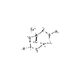 [Ca+2].[O-]B1OB2OB([O-])OB(O1)O2